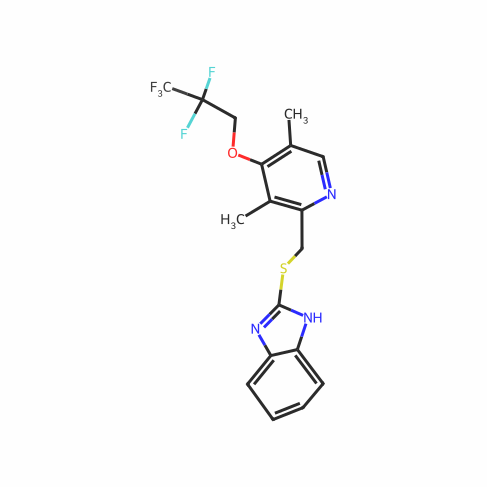 Cc1cnc(CSc2nc3ccccc3[nH]2)c(C)c1OCC(F)(F)C(F)(F)F